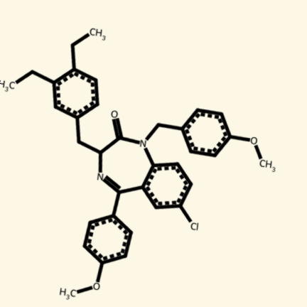 CCc1ccc(CC2N=C(c3ccc(OC)cc3)c3cc(Cl)ccc3N(Cc3ccc(OC)cc3)C2=O)cc1CC